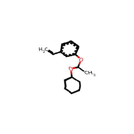 C=Cc1cccc(OC(C)OC2CCCCC2)c1